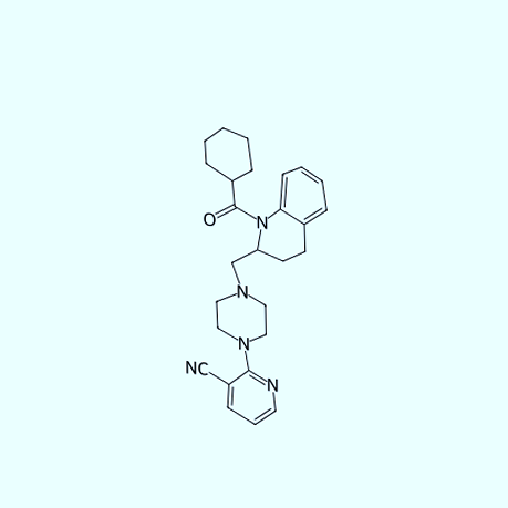 N#Cc1cccnc1N1CCN(CC2CCc3ccccc3N2C(=O)C2CCCCC2)CC1